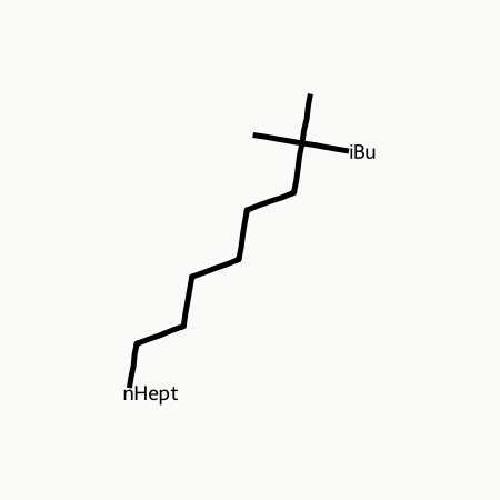 C[CH]C(C)C(C)(C)CCCCCCCCCCCCC